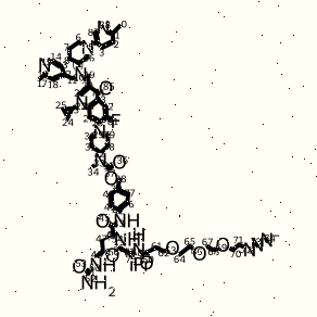 Cc1ccc(N2CCC[C@H](N(Cc3ccnc(C)c3)Cc3cn(C4CC4)c4cc(N5CCC(N(C)C(=O)OCc6ccc(NC(=O)[C@H](CCCNC(N)=O)NC(=O)[C@@H](NC(=O)CCOCCOCCOCCN=[N+]=[N-])C(C)C)cc6)CC5)c(F)cc4c3=O)C2)cn1